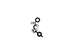 Cc1ccc(-c2nnc(CC(=O)NC3CCCCC3)o2)cc1